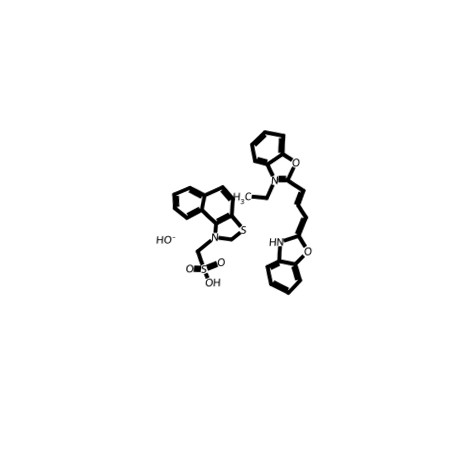 CC[n+]1c(C=CC=C2Nc3ccccc3O2)oc2ccccc21.O=S(=O)(O)CN1CSc2ccc3ccccc3c21.[OH-]